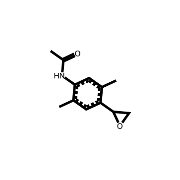 CC(=O)Nc1cc(C)c(C2CO2)cc1C